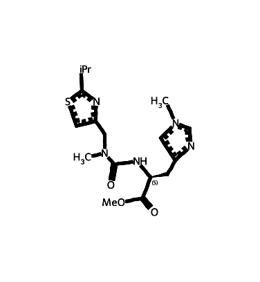 COC(=O)[C@H](Cc1cn(C)cn1)NC(=O)N(C)Cc1csc(C(C)C)n1